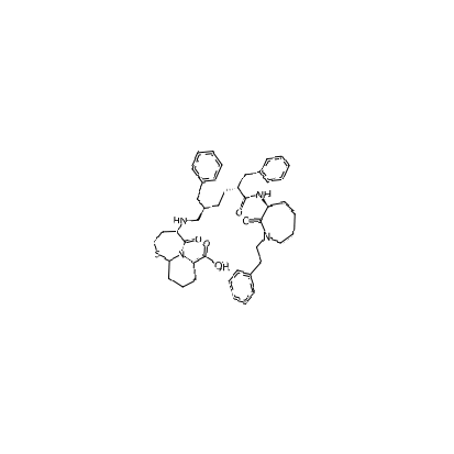 O=C(O)C1CCCC2SCCC(NC[C@H](CC[C@H](Cc3ccccc3)C(=O)N[C@H]3CCCCN(CCc4ccccc4)C3=O)Cc3ccccc3)C(=O)N21